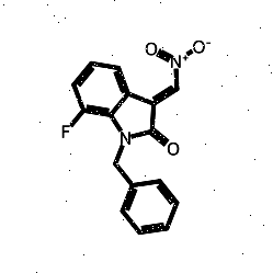 O=C1/C(=C/[N+](=O)[O-])c2cccc(F)c2N1Cc1ccccc1